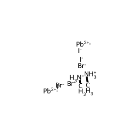 C[NH3+].C[NH3+].[Br-].[Br-].[Br-].[I-].[I-].[I-].[Pb+2].[Pb+2]